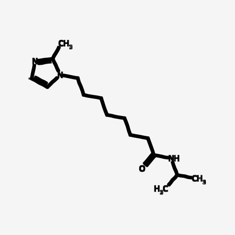 Cc1n[c]cn1CCCCCCCC(=O)NC(C)C